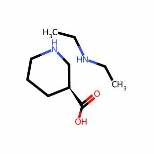 CCNCC.O=C(O)[C@H]1CCCNC1